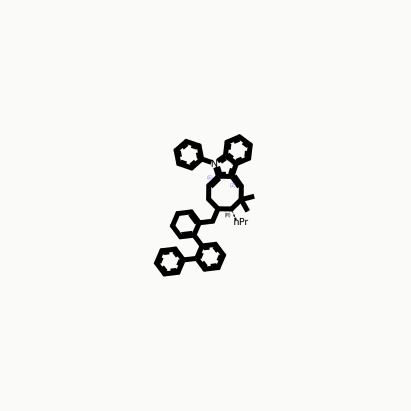 CCC[C@@H]1C(CC2=CCCC=C2c2ccccc2-c2ccccc2)C/C=c2\c(c3ccccc3n2-c2ccccc2)=C/C1(C)C